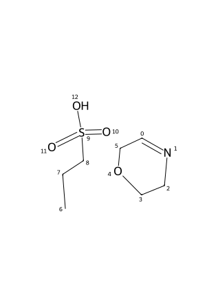 C1=NCCOC1.CCCS(=O)(=O)O